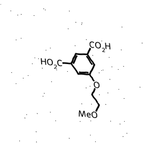 COCCOc1cc(C(=O)O)cc(C(=O)O)c1